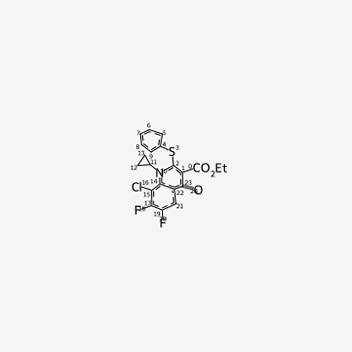 CCOC(=O)c1c(Sc2ccccc2)n(C2CC2)c2c(Cl)c(F)c(F)cc2c1=O